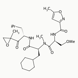 COC[C@H](NC(=O)c1cc(C)on1)C(=O)N(C)[C@@H](CC1CCCCC1)C(=O)N[C@@H](CC(C)C)C(=O)C1(C)CO1